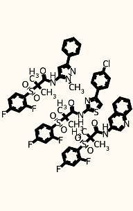 CC(C)(C(=O)Nc1cnc2ccccc2c1)S(=O)(=O)c1ccc(F)cc1F.CC(C)(C(=O)Nc1nc(-c2ccc(Cl)cc2)cs1)S(=O)(=O)c1ccc(F)cc1F.Cn1nc(-c2ccccc2)cc1NC(=O)C(C)(C)S(=O)(=O)c1ccc(F)cc1F